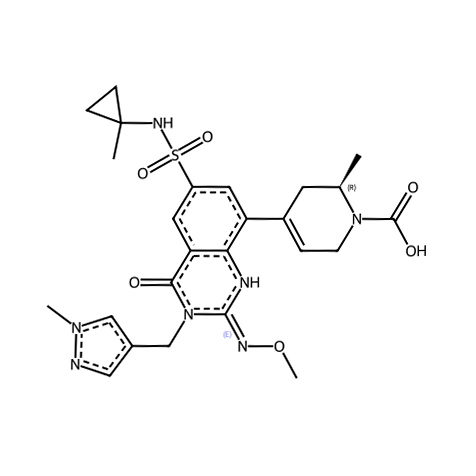 CO/N=c1\[nH]c2c(C3=CCN(C(=O)O)[C@H](C)C3)cc(S(=O)(=O)NC3(C)CC3)cc2c(=O)n1Cc1cnn(C)c1